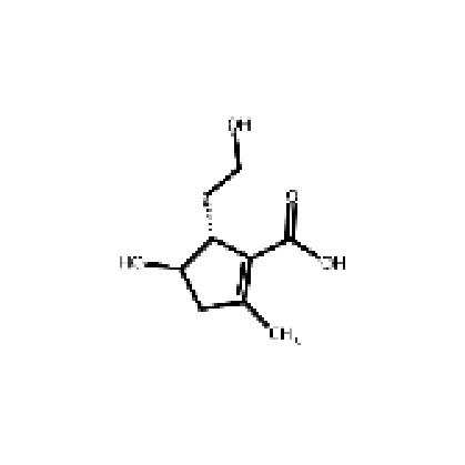 CC1=C(C(=O)O)[C@@H](CCO)[C@H](O)C1